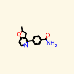 CC1Cc2c(ccnc2-c2ccc(C(N)=O)cc2)O1